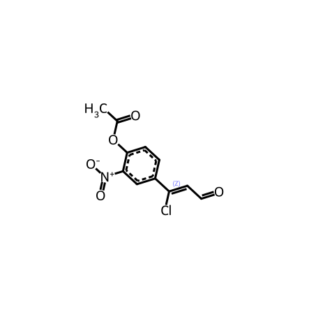 CC(=O)Oc1ccc(/C(Cl)=C/C=O)cc1[N+](=O)[O-]